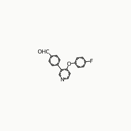 O=Cc1ccc(-c2cnccc2Oc2ccc(F)cc2)cc1